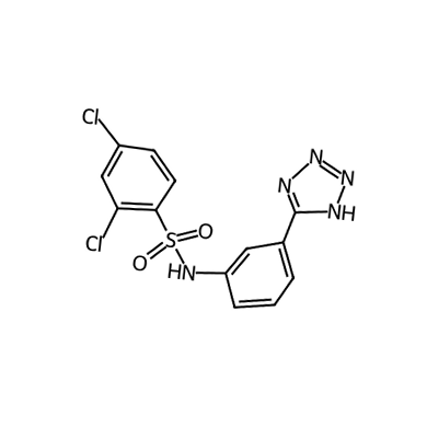 O=S(=O)(Nc1cccc(-c2nnn[nH]2)c1)c1ccc(Cl)cc1Cl